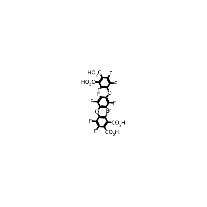 O=C(O)c1c(F)c(F)c(Oc2c(F)c(F)c(Oc3c(F)c(F)c(C(=O)O)c(C(=O)O)c3F)c(Br)c2F)c(F)c1C(=O)O